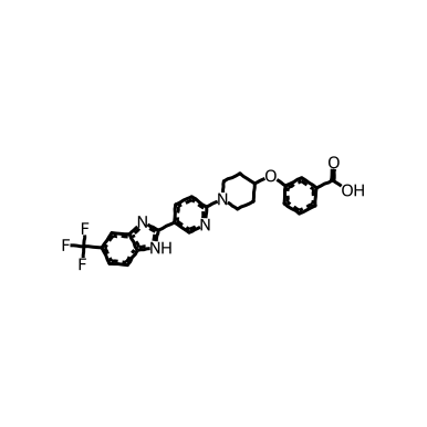 O=C(O)c1cccc(OC2CCN(c3ccc(-c4nc5cc(C(F)(F)F)ccc5[nH]4)cn3)CC2)c1